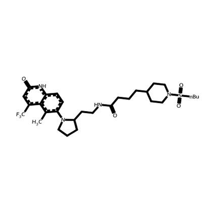 CCCCS(=O)(=O)N1CCC(CCCC(=O)NCCC2CCCN2c2ccc3[nH]c(=O)cc(C(F)(F)F)c3c2C)CC1